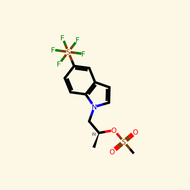 C[C@@H](Cn1ccc2cc(S(F)(F)(F)(F)F)ccc21)OS(C)(=O)=O